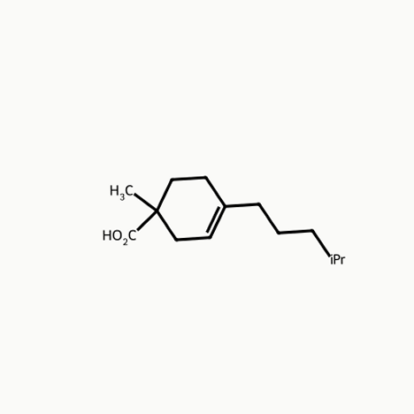 CC(C)CCCC1=CCC(C)(C(=O)O)CC1